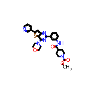 COC(=O)N1CCC(C(=O)Nc2cccc(-c3nc(N4CCOCC4)c4sc(-c5cccnc5)cc4n3)c2)CC1